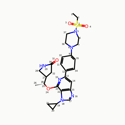 CCS(=O)(=O)N1CCN(c2ccc(-c3cc4ncn(C5CC5)c4c(O[C@H](C)C4CNC(=O)C4)n3)cc2)CC1